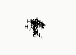 Cc1nnc(CN2CCN(c3cc(CC4CC4(F)F)cc(F)c3-c3nn[nH]n3)C[C@@H]2C)s1